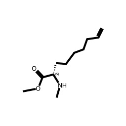 C=CCCCCC[C@H](NC)C(=O)OC